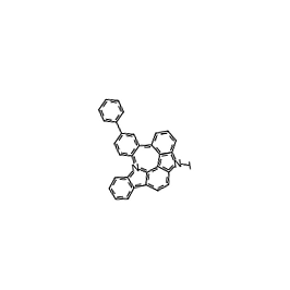 In1c2cccc3c4cc(-c5ccccc5)ccc4n4c5ccccc5c5ccc1c(c32)c54